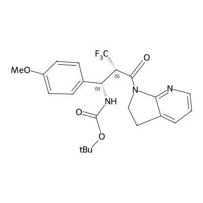 COc1ccc([C@@H](NC(=O)OC(C)(C)C)[C@@H](C(=O)N2CCc3cccnc32)C(F)(F)F)cc1